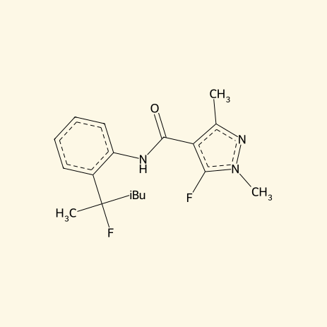 CCC(C)C(C)(F)c1ccccc1NC(=O)c1c(C)nn(C)c1F